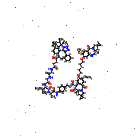 CCC(C)(C(C)C)n1nnc2c1-c1ccccc1N(C(=O)CCC(=O)NCC(=O)NCC(=O)N[C@H](C(=O)N[C@@H](C)C(=O)Nc1ccc(COC(=O)N3c4cc(OCCCCCOc5cc6c(cc5OC)C(=O)N5CC7(CC7)C[C@H]5C=N6)c(OC)cc4C(=O)N4CC5(CC5)C[C@H]4[C@@H]3O)cc1)C(C)C)Cc1ccccc1-2